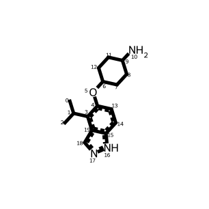 CC(C)c1c(OC2CCC(N)CC2)ccc2[nH]ncc12